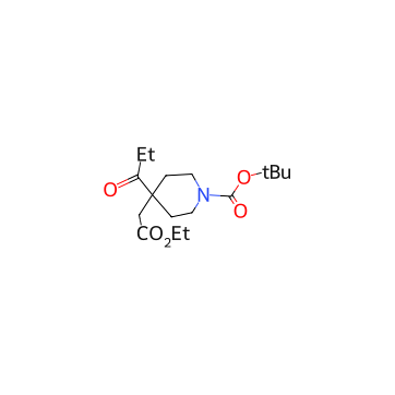 CCOC(=O)CC1(C(=O)CC)CCN(C(=O)OC(C)(C)C)CC1